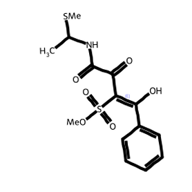 COS(=O)(=O)/C(C(=O)C(=O)NC(C)SC)=C(/O)c1ccccc1